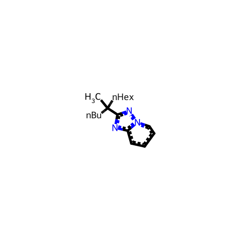 CCCCCCC(C)(CCCC)c1nc2ccccn2n1